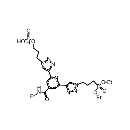 CCNC(=O)c1cc(-c2cn(CCCO[PH](=O)O)nn2)nc(-c2cn(CCCP(=O)(OCC)OCC)nn2)c1